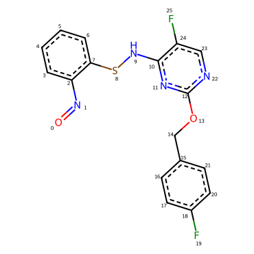 O=Nc1ccccc1SNc1nc(OCc2ccc(F)cc2)ncc1F